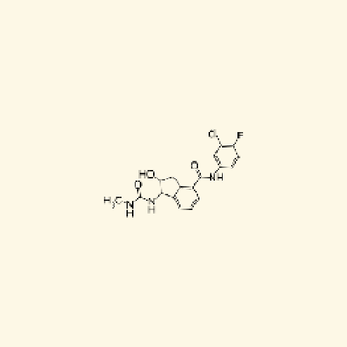 CNC(=O)NC1c2cccc(C(=O)Nc3ccc(F)c(Cl)c3)c2CC1O